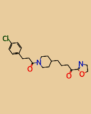 O=C(CCCC1CCN(C(=O)CCc2ccc(Cl)cc2)CC1)C1=NCCO1